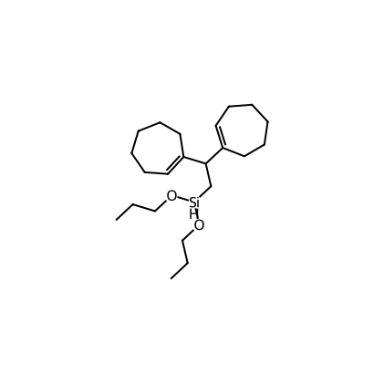 CCCO[SiH](CC(C1=CCCCCC1)C1=CCCCCC1)OCCC